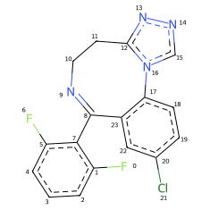 Fc1cccc(F)c1/C1=N/CCc2nncn2-c2ccc(Cl)cc21